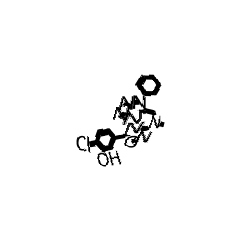 CN(Cc1nnnn1C1CCCCC1)c1noc(-c2ccc(Cl)c(O)c2)n1